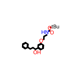 CC(C)(C)OC(=O)NCCCOc1cccc([C@H](O)CCc2ccccc2)c1